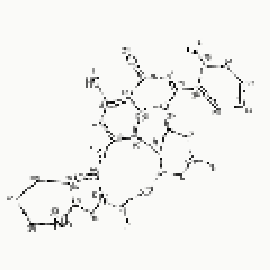 CC1OC2CN(C)CCC2c2c(cc(O)c3c(=O)cc(-c4ccccc4Cl)oc23)OC(=O)N1CC1CCCCN1